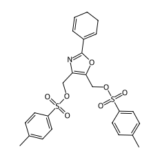 Cc1ccc(S(=O)(=O)OCc2nc(C3=CCCC=C3)oc2COS(=O)(=O)c2ccc(C)cc2)cc1